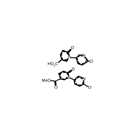 COC(=O)c1ccc(=O)n(-c2ccc(Cl)nc2)c1.O=C(O)c1ccc(=O)n(-c2ccc(Cl)nc2)c1